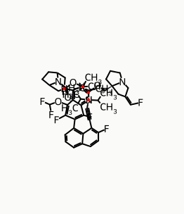 CC(C)[Si](C#Cc1c(F)ccc2cccc(-c3c(F)c(OC(F)F)c4c(N5CC6CCC(C5)N6C(=O)OC(C)(C)C)nc(OC[C@@]56CCCN5C/C(=C\F)C6)nc4c3F)c12)(C(C)C)C(C)C